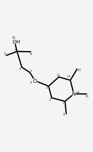 CC1CC(OCCC(C)(C)O)CC(C)N1C